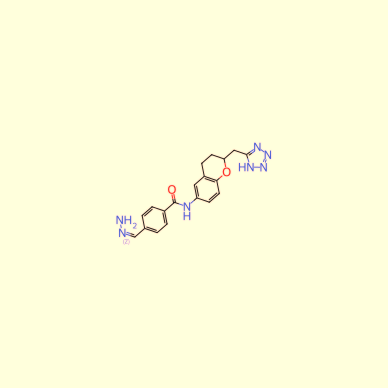 N/N=C\c1ccc(C(=O)Nc2ccc3c(c2)CCC(Cc2nnn[nH]2)O3)cc1